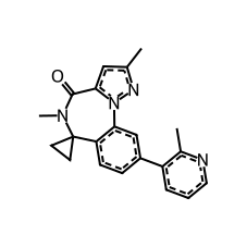 Cc1cc2n(n1)-c1cc(-c3cccnc3C)ccc1C1(CC1)N(C)C2=O